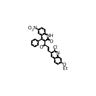 CCOc1ccc2cc(C=CC(=O)c3c(-c4ccccc4)c4cc([N+](=O)[O-])ccc4[nH]c3=O)c(Cl)nc2c1